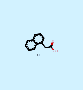 O=C(O)Cc1cccc2ccccc12.[C]